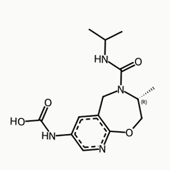 CC(C)NC(=O)N1Cc2cc(NC(=O)O)cnc2OC[C@H]1C